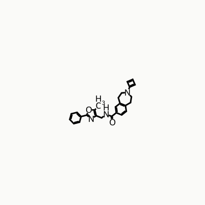 Cc1oc(-c2ccccc2)nc1CNC(=O)c1ccc2c(c1)CCN(C1=CC=C1)CC2